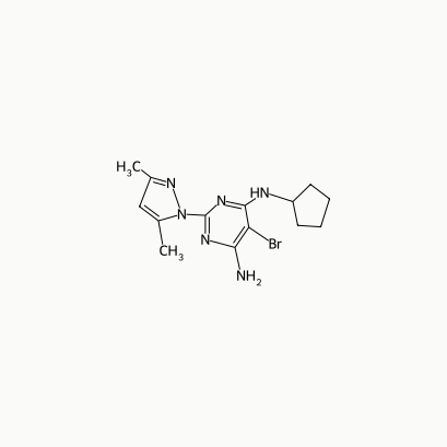 Cc1cc(C)n(-c2nc(N)c(Br)c(NC3CCCC3)n2)n1